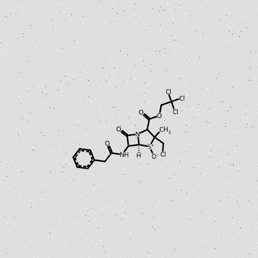 CC1(CCl)C(C(=O)OCC(Cl)(Cl)Cl)N2C(=O)C(NC(=O)Cc3ccccc3)[C@@H]2[S+]1[O-]